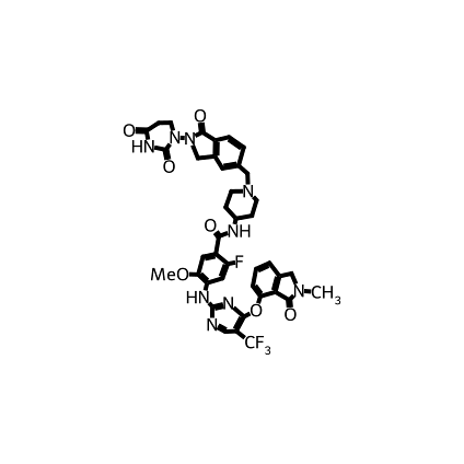 COc1cc(C(=O)NC2CCN(Cc3ccc4c(c3)CN(N3CCC(=O)NC3=O)C4=O)CC2)c(F)cc1Nc1ncc(C(F)(F)F)c(Oc2cccc3c2C(=O)N(C)C3)n1